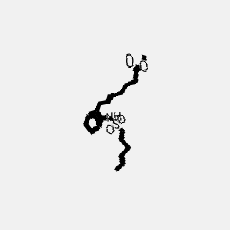 CCCCCCS(=O)(=O)NC1C2CCC(C2)C1CC=CCCCC(=O)OC